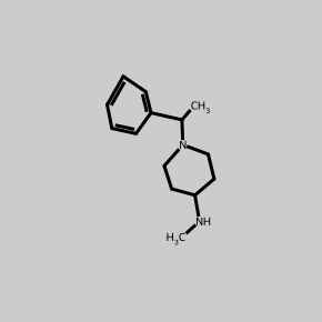 CNC1CCN(C(C)c2ccccc2)CC1